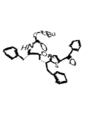 CC(=O)O[C@@H](C[C@@H](Cc1ccccc1)c1ncc(C(=O)c2ccccc2)s1)[C@H](Cc1ccccc1)NC(=O)OC(C)(C)C